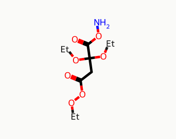 CCOOC(=O)CC(OCC)(OCC)C(=O)ON